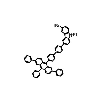 CCn1c2ccc(-c3ccc(-c4ccc(-c5c6ccc(-c7ccccc7)cc6c(-c6ccccc6)c6ccc(-c7ccccc7)cc56)cc4)cc3)cc2c2cc(C(C)(C)C)ccc21